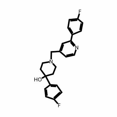 OC1(c2ccc(F)cc2)CCN(Cc2ccnc(-c3ccc(F)cc3)c2)CC1